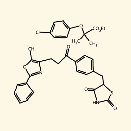 CCOC(=O)C(C)(C)Oc1ccc(Cl)cc1.Cc1oc(-c2ccccc2)nc1CCC(=O)c1ccc(CC2SC(=O)NC2=O)cc1